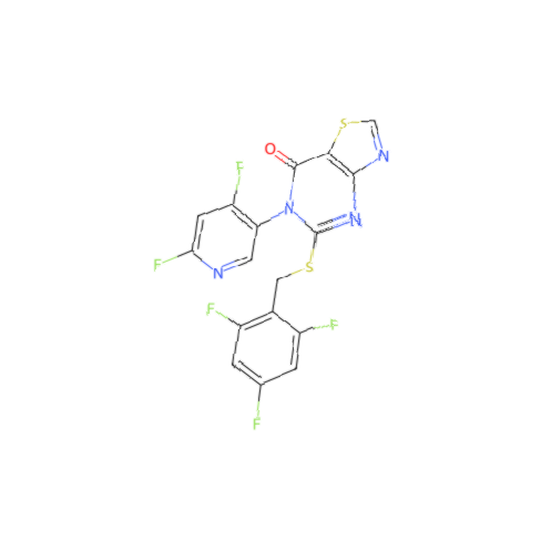 O=c1c2scnc2nc(SCc2c(F)cc(F)cc2F)n1-c1cnc(F)cc1F